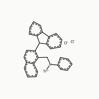 [Cl-].[Cl-].[Ti+2][N](Cc1c(C2c3ccccc3-c3ccccc32)ccc2ccccc12)c1ccccc1